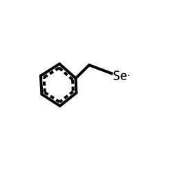 [Se]Cc1ccccc1